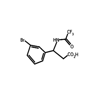 O=C(O)CC(NC(=O)C(F)(F)F)c1cccc(Br)c1